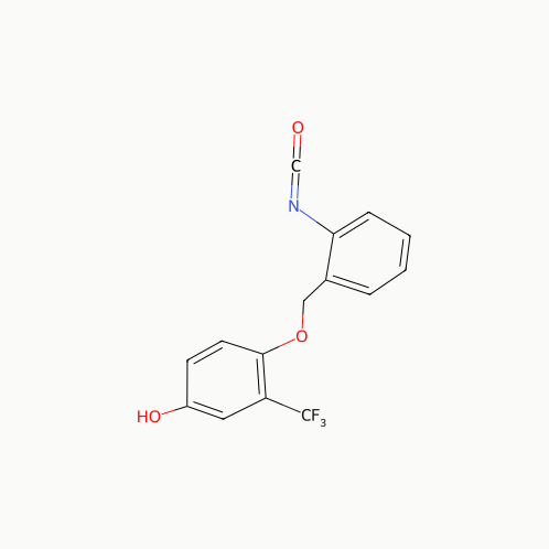 O=C=Nc1ccccc1COc1ccc(O)cc1C(F)(F)F